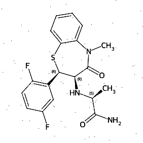 C[C@H](N[C@@H]1C(=O)N(C)c2ccccc2S[C@@H]1c1cc(F)ccc1F)C(N)=O